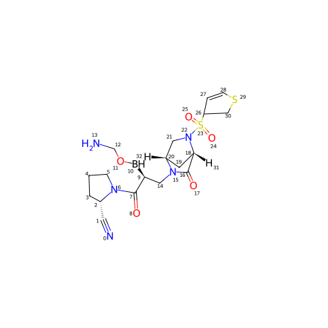 N#C[C@@H]1CCCN1C(=O)[C@@H](BOCN)CN1C(=O)[C@@H]2C[C@H]1CN2S(=O)(=O)C1C=CSC1